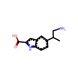 CC(CN)c1ccc2[nH]c(C(=O)O)cc2c1